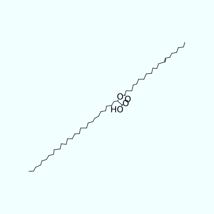 CCCCCCC=CCCCCCCCCCCCC(=O)OC(CCCCCCCCCCCCCCCCCCCCCCCCCCC)C(=O)O